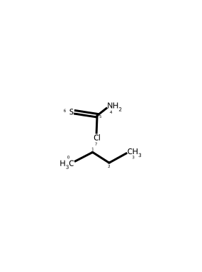 CCCC.NC(=S)Cl